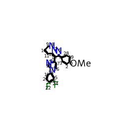 COc1ccc(-c2nn3ncccc3c2C2=NCN(c3ccc(F)c(F)c3)C=C2)cc1